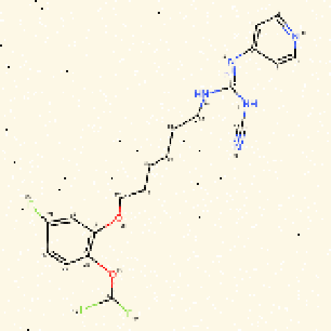 N#CN/C(=N\c1ccncc1)NCCCCCCOc1cc(F)ccc1OC(F)F